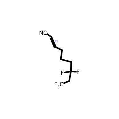 N#C/C=C/CCCC(F)(F)CC(F)(F)F